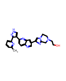 Cc1cccc(-c2n[nH]cc2-c2ccc3ncc(-c4cn5c(n4)CN(CCO)CC5)cc3n2)n1